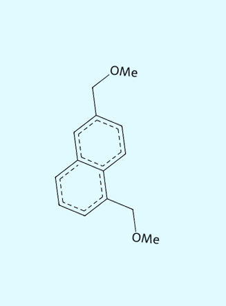 COCc1ccc2c(COC)cccc2c1